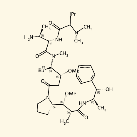 CC[C@H](C)[C@@H]([C@@H](CC(=O)N1CCC[C@H]1[C@H](OC)[C@@H](C)C(=O)N[C@H](C)[C@@H](O)c1ccccc1)OC)N(C)C(=O)[C@@H](NC(=O)C(C(C)C)N(C)C)[C@H](C)N